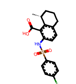 C[C@@H]1CCCc2ccc(NS(=O)(=O)c3ccc(F)cc3)c(C(=O)O)c21